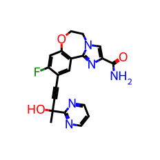 CC(O)(C#Cc1cc2c(cc1F)OCCn1cc(C(N)=O)nc1-2)c1ncccn1